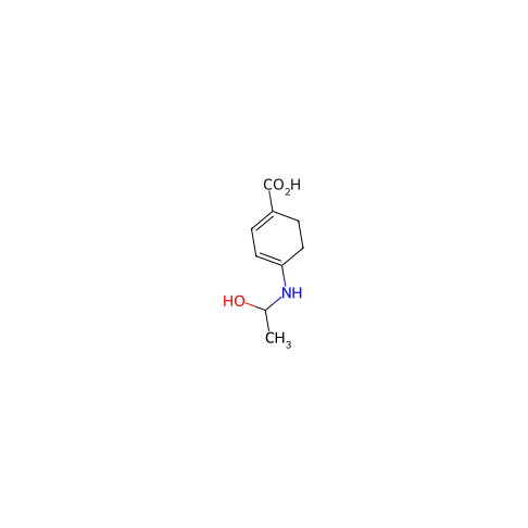 CC(O)NC1=CC=C(C(=O)O)CC1